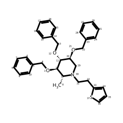 C[C@@H]1[C@@H](OCc2ccccc2)[C@H](OCc2ccccc2)[C@@H](OCc2ccccc2)CN1CCc1cccs1